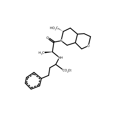 CCOC(=O)C(CCc1ccccc1)N[C@@H](C)C(=O)N1CC2COCCC2C[C@H]1C(=O)O